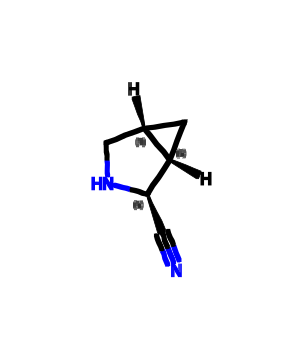 N#C[C@H]1NC[C@@H]2C[C@@H]21